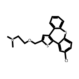 CN(C)CCOCc1cc2c(s1)-c1cc(Cl)ccc1Sc1ccccc1-2